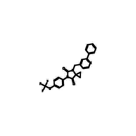 O=C1N(c2ccc(SC(F)(F)F)cc2)C(=O)C2(CC2)N1Cc1ccnc(-c2ccccc2)c1